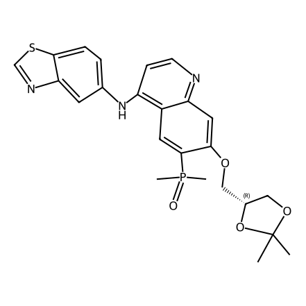 CC1(C)OC[C@@H](COc2cc3nccc(Nc4ccc5scnc5c4)c3cc2P(C)(C)=O)O1